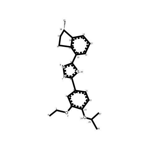 CCOc1cc(-c2nnc(-c3cccc4c3CC[C@@H]4C)s2)ccc1OC(C)C